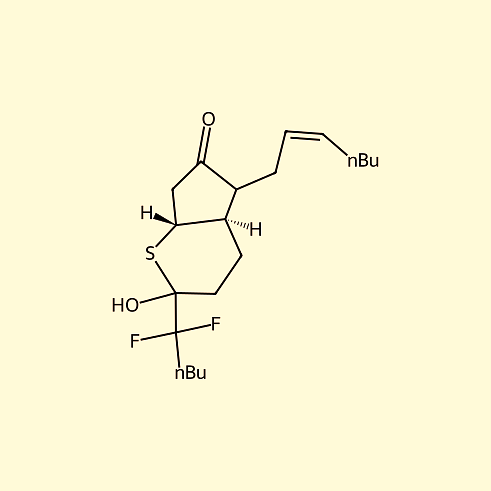 CCCC/C=C\CC1C(=O)C[C@H]2SC(O)(C(F)(F)CCCC)CC[C@H]12